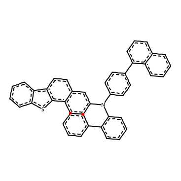 c1ccc(-c2ccccc2N(c2ccc(-c3cccc4ccccc34)cc2)c2ccc3c(ccc4c5ccccc5sc34)c2)cc1